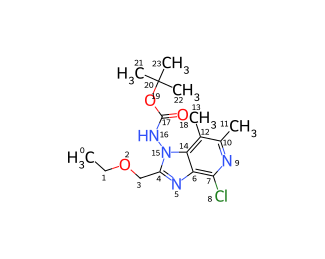 CCOCc1nc2c(Cl)nc(C)c(C)c2n1NC(=O)OC(C)(C)C